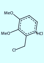 COc1ccnc(CCl)c1OC.Cl